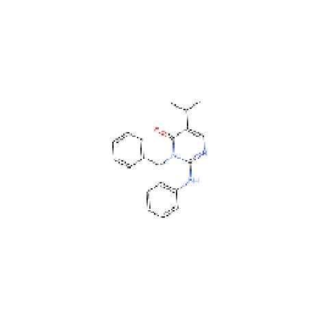 CC(C)c1cnc(Nc2ccccc2)n(Cc2ccccc2)c1=O